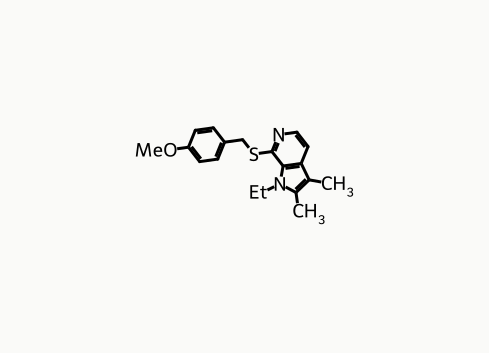 CCn1c(C)c(C)c2ccnc(SCc3ccc(OC)cc3)c21